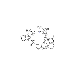 CO[C@]1(CO)/C=C/C[C@H](C)[C@@H](Cc2ccccc2)S(=O)(=O)NC(=O)c2ccc3c(c2)N(C[C@@H]2CC[C@H]21)C[C@@]1(CCCc2cc(Cl)ccc21)CO3